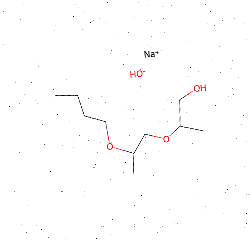 CCCCOC(C)COC(C)CO.[Na+].[OH-]